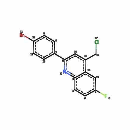 Fc1ccc2nc(-c3ccc(Br)cc3)cc(CCl)c2c1